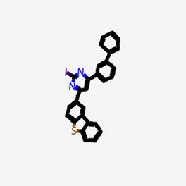 Ic1nc(-c2cccc(-c3ccccc3)c2)cc(-c2ccc3sc4ccccc4c3c2)n1